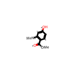 CNc1cc(O)ccc1C(=O)OC